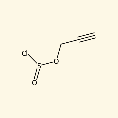 C#CCOS(=O)Cl